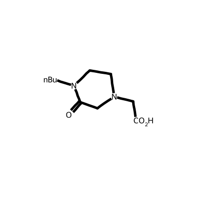 CCCCN1CCN(CC(=O)O)CC1=O